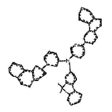 CC1(C)c2ccccc2-c2ccc(N(c3ccc(-c4ccc5ccc6ccccc6c5c4)cc3)c3cccc(-c4ccc5ccc6ccccc6c5c4)c3)cc21